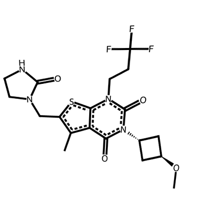 CO[C@H]1C[C@H](n2c(=O)c3c(C)c(CN4CCNC4=O)sc3n(CCC(F)(F)F)c2=O)C1